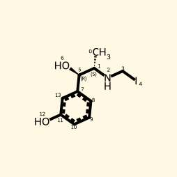 C[C@H](NCI)[C@H](O)c1cccc(O)c1